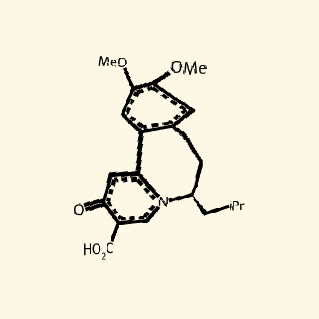 COc1cc2c(cc1OC)-c1cc(=O)c(C(=O)O)cn1[C@H](CC(C)C)C2